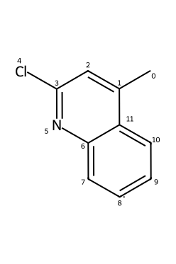 Cc1cc(Cl)nc2c[c]ccc12